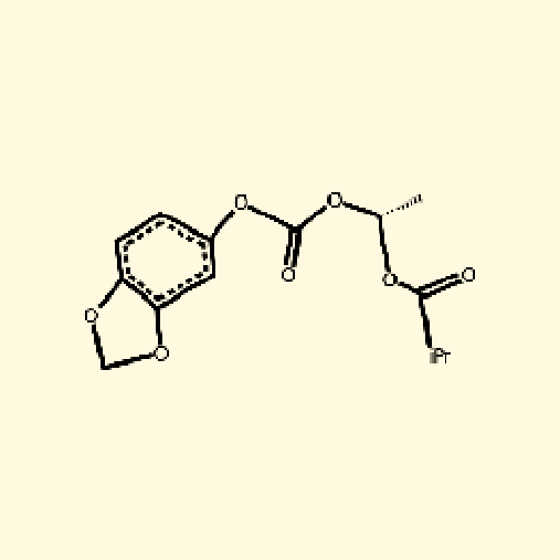 CC(C)C(=O)O[C@@H](C)OC(=O)Oc1ccc2c(c1)OCO2